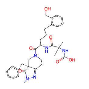 CN1N=C2CCN(C(=O)C(CCCc3ccccc3CO)NC(=O)C(C)(C)NC(=O)O)CC2(Cc2ccccc2)C1=O